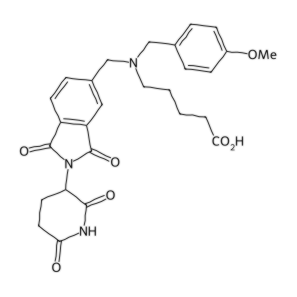 COc1ccc(CN(CCCCC(=O)O)Cc2ccc3c(c2)C(=O)N(C2CCC(=O)NC2=O)C3=O)cc1